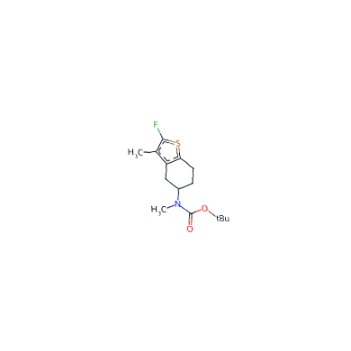 Cc1c(F)sc2c1CC(N(C)C(=O)OC(C)(C)C)CC2